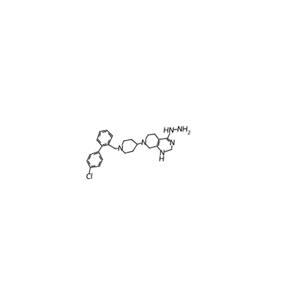 NNC1=NCNC2=C1CCN(C1CCN(Cc3ccccc3-c3ccc(Cl)cc3)CC1)C2